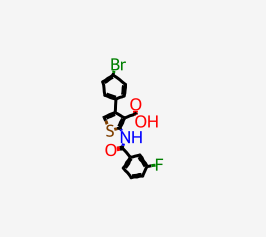 O=C(Nc1scc(-c2ccc(Br)cc2)c1C(=O)O)c1cccc(F)c1